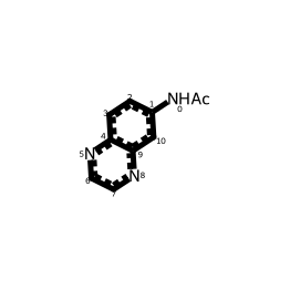 CC(=O)Nc1ccc2nccnc2c1